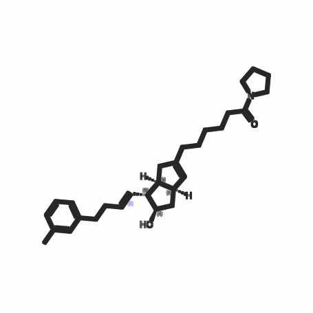 Cc1cccc(CC/C=C/[C@@H]2[C@H]3CC(CCCCCC(=O)N4CCCC4)=C[C@H]3C[C@H]2O)c1